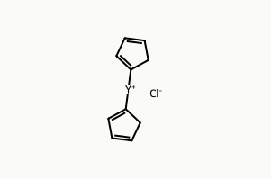 C1=CC[C]([Y+][C]2=CC=CC2)=C1.[Cl-]